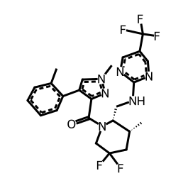 Cc1ccccc1-c1cn(C)nc1C(=O)N1CC(F)(F)C[C@@H](C)[C@H]1CNc1ncc(C(F)(F)F)cn1